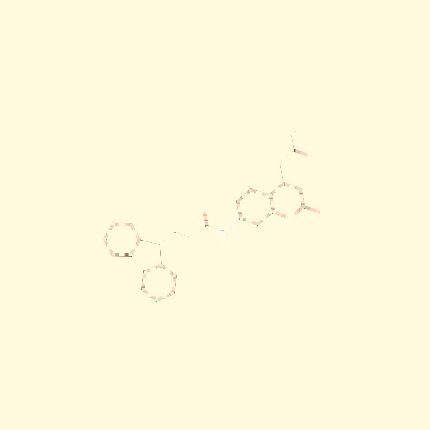 O=C(O)Cc1cc(=O)oc2cc(NC(=O)OCC3c4ccccc4-c4ccccc43)ccc12